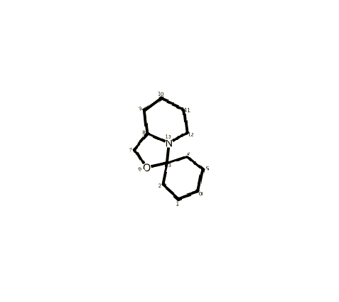 C1CCC2(CC1)OCC1CCCCN12